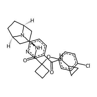 O=C(NC1CC1)c1ccc(N2[C@@H]3CC[C@H]2C[C@@H](NC(=O)C2(Oc4ccc(Cl)cc4)CCC2)C3)nc1